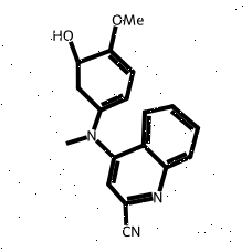 COC1=CC=C(N(C)c2cc(C#N)nc3ccccc23)CC1O